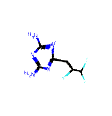 Nc1nc(N)nc(CC(F)C(F)F)n1